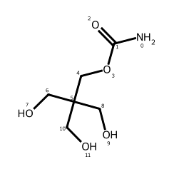 NC(=O)OCC(CO)(CO)CO